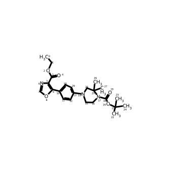 CCOC(=O)c1ncoc1-c1ccc(N2CCN(C(=O)OC(C)(C)C)C(C)(C)C2)cc1